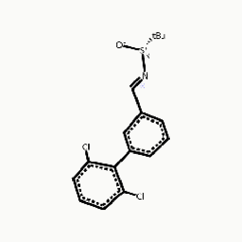 CC(C)(C)[S@@+]([O-])/N=C/c1cccc(-c2c(Cl)cccc2Cl)c1